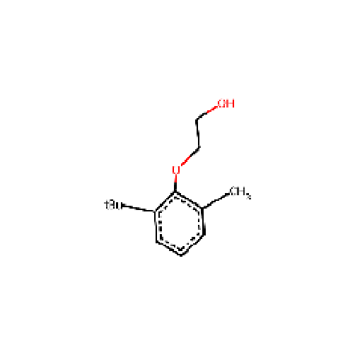 Cc1cccc(C(C)(C)C)c1OCCO